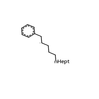 CCCCCCCCCC[CH]Cc1ccccc1